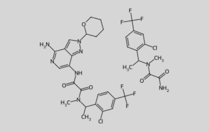 CC(c1ccc(C(F)(F)F)cc1Cl)N(C)C(=O)C(=O)Nc1cnc(N)c2cn(C3CCCCO3)nc12.CC(c1ccc(C(F)(F)F)cc1Cl)N(C)C(=O)C(N)=O